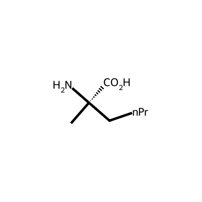 CCCC[C@@](C)(N)C(=O)O